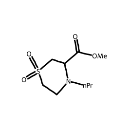 CCCN1CCS(=O)(=O)CC1C(=O)OC